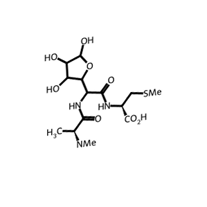 CN[C@@H](C)C(=O)NC(C(=O)N[C@@H](CSC)C(=O)O)C1OC(O)C(O)C1O